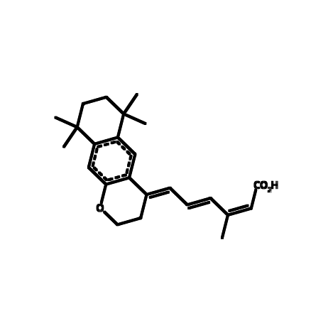 CC(=C/C(=O)O)/C=C/C=C1\CCOc2cc3c(cc21)C(C)(C)CCC3(C)C